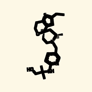 CCc1cc2c(s1)CCO[C@@]21CCN(Cc2ccc(NC(C)(C)CO)nc2)[C@@H](C)C1